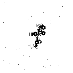 COC[C@]1(O)CCCC[C@H]1n1cnc(C(=O)N2CCNC[C@H]2CCOc2ccc(C(N)=O)cc2OC)c1-c1ccccc1